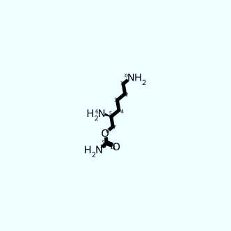 NCCCC[C@H](N)COC(N)=O